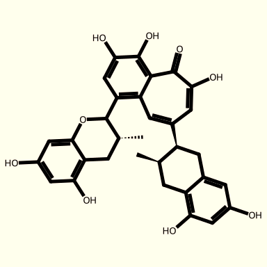 C[C@@H]1Cc2c(O)cc(O)cc2OC1c1cc(O)c(O)c2c(=O)c(O)cc([C@H]3Cc4cc(O)cc(O)c4C[C@H]3C)cc12